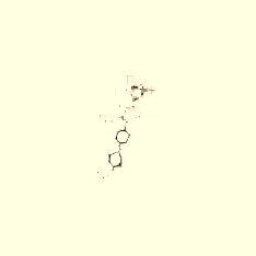 N#Cc1ccc(-c2ccc(CC(C#N)NC(=O)[C@H]3N[C@@H]4CC(F)C3C4)cc2)cc1F